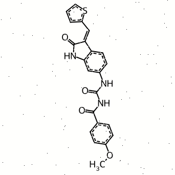 COc1ccc(C(=O)NC(=O)Nc2ccc3c(c2)NC(=O)C3=Cc2cccs2)cc1